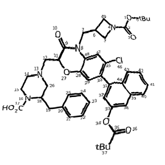 CC(C)(C)OC(=O)N1CC(CN2C(=O)C(CN3CCN(C(=O)O)C(Cc4ccccc4)C3)Oc3cc(-c4cc(OC(=O)C(C)(C)C)cc5ccccc45)c(Cl)cc32)C1